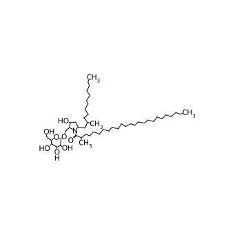 CCCCCCCCCCCCCCCCCCCCCCCC(C)C(=O)N1C(CC(C)CCCCCCCCCC)CC(O)C1COC1OC(CO)C(O)C(O)C1O